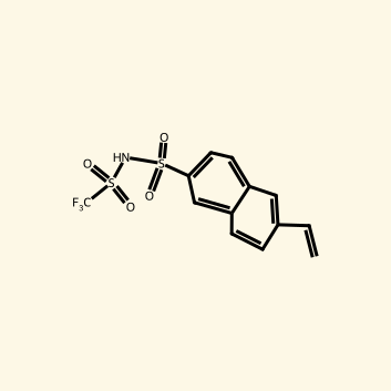 C=Cc1ccc2cc(S(=O)(=O)NS(=O)(=O)C(F)(F)F)ccc2c1